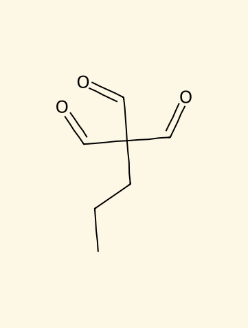 CCCC(C=O)(C=O)C=O